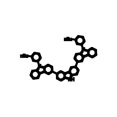 CCCCc1cccc(-n2c3ccccc3c3cc(-c4ccc5[nH]c6ccc(-c7ccc8c(c7)c7ccccc7n8-c7cccc(CCCC)c7)cc6c5c4)ccc32)c1